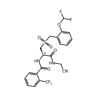 N#CCNC(=O)[C@H](CS(=O)(=O)Cc1ccccc1OC(F)F)NC(=O)c1ccccc1C(F)(F)F